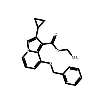 CCOC(=O)c1c(C2CC2)cn2cccc(OCc3ccccc3)c12